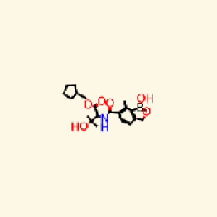 Cc1c(C(=O)NC(C(=O)OCC2CCCC2)C(C)(C)O)ccc2c1B(O)OC2